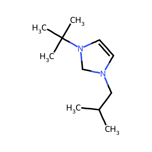 CC(C)CN1C=CN(C(C)(C)C)C1